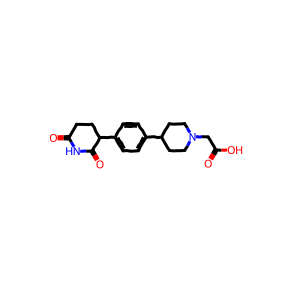 O=C(O)CN1CCC(c2ccc(C3CCC(=O)NC3=O)cc2)CC1